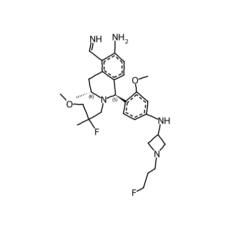 COCC(C)(F)CN1[C@H](c2ccc(NC3CN(CCCF)C3)cc2OC)c2ccc(N)c(C=N)c2C[C@H]1C